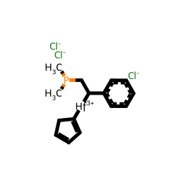 CP(C)C[CH]([Hf+3][C]1=CC=CC1)c1ccccc1.[Cl-].[Cl-].[Cl-]